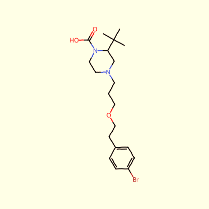 CC(C)(C)C1CN(CCCOCCc2ccc(Br)cc2)CCN1C(=O)O